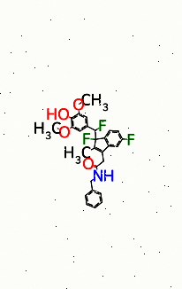 COc1cc(C(F)C2(F)C(C)=C(CC(=O)NCc3ccccc3)c3cc(F)ccc32)cc(OC)c1O